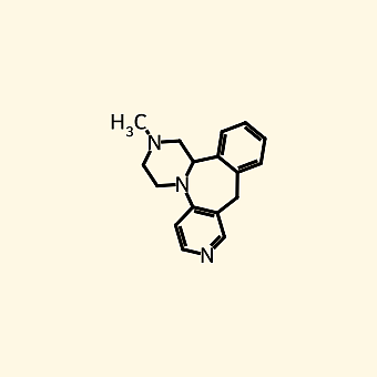 CN1CCN2c3ccncc3Cc3ccccc3C2C1